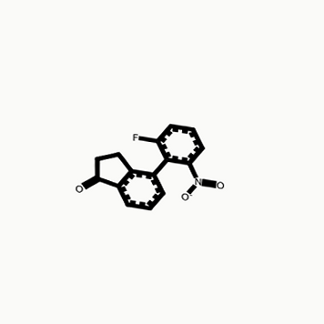 O=C1CCc2c1cccc2-c1c(F)cccc1[N+](=O)[O-]